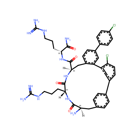 N=C(N)NCCC[C@@H](NC(=O)[C@H]1Cc2ccc(-c3ccc(Cl)cc3)cc2-c2cc(ccc2Cl)-c2ccc(cc2)C[C@@H](N)C(=O)N[C@H](CCCNC(=N)N)C(=O)N1)C(N)=O